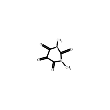 CN1C(=O)C(=O)C(=O)N(C)C1=O